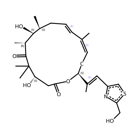 CC1=C/C[C@@H](/C(C)=C/c2csc(CO)n2)OC(=O)C[C@H](O)C(C)(C)C(=O)[C@H](C)[C@@H](O)[C@@H](C)C\C=C\1